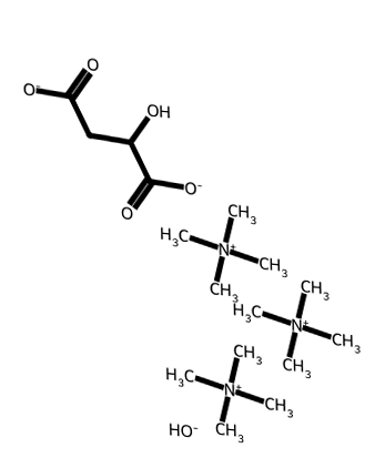 C[N+](C)(C)C.C[N+](C)(C)C.C[N+](C)(C)C.O=C([O-])CC(O)C(=O)[O-].[OH-]